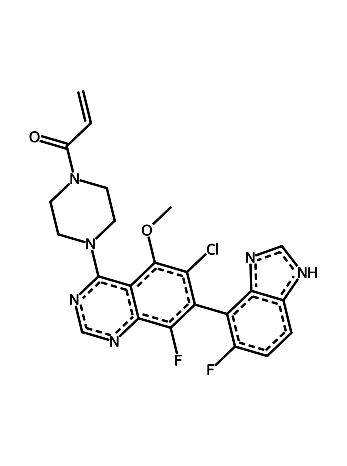 C=CC(=O)N1CCN(c2ncnc3c(F)c(-c4c(F)ccc5[nH]cnc45)c(Cl)c(OC)c23)CC1